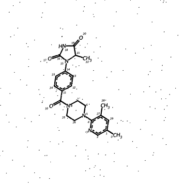 Cc1cnc(N2CCN(C(=O)c3ccc(N4C(=O)NC(=O)C4C)cc3)CC2)c(C)c1